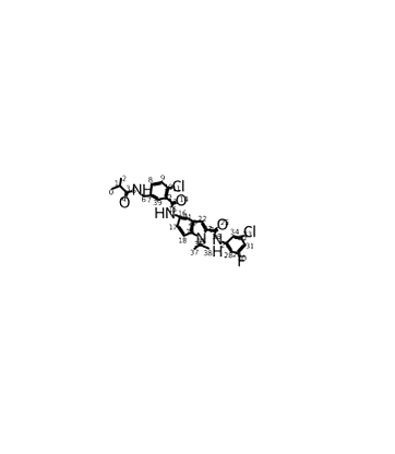 CC(C)C(=O)NCc1ccc(Cl)c(C(=O)Nc2ccc3c(c2)cc(C(=O)Nc2cc(F)cc(Cl)c2)n3C(C)C)c1